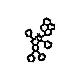 c1ccc(-c2cc3cc(-c4ccccc4)n4nc(-c5ccc6ccc7cccc8ccc5c6c78)c(-c5ccccc5)c4c3cc2-c2ccccc2)cc1